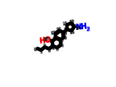 CCCCC1CCc2cc(C3CC[C@@H](N)C3)ccc2C1O